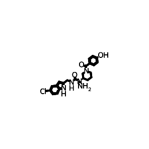 NN(C(=O)NCc1cc2cc(Cl)ccc2[nH]1)[C@@H]1CCCN(C(=O)c2ccc(O)cc2)C1